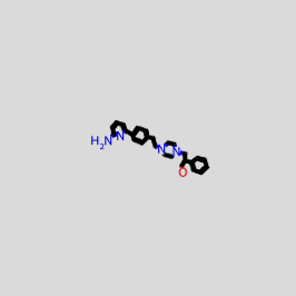 Nc1cccc(-c2ccc(CCN3CCN(CC(C=O)c4ccccc4)CC3)cc2)n1